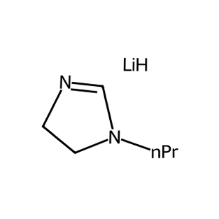 [CH2]CCN1C=NCC1.[LiH]